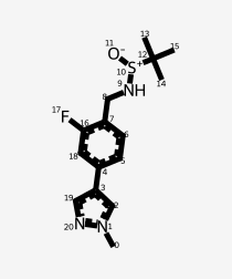 Cn1cc(-c2ccc(CN[S+]([O-])C(C)(C)C)c(F)c2)cn1